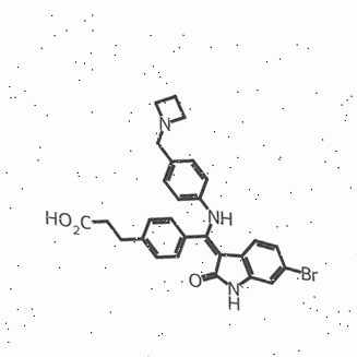 O=C(O)CCc1ccc(C(Nc2ccc(CN3CCC3)cc2)=C2C(=O)Nc3cc(Br)ccc32)cc1